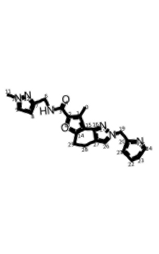 Cc1c(C(=O)NCc2ccn(C)n2)oc2c1-c1nn(Cc3ccccn3)cc1CC2